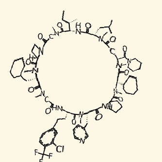 CC[C@H](C)[C@@H]1NC(=O)[C@H](CC(C)C)N(C)C(=O)C[C@@H](C(=O)N2CCCCC2)N(C)C(=O)[C@H](C2CCCCC2)N(C)C(=O)C2(CCCC2)NC(=O)[C@H](Cc2cccnc2)N(C)C(=O)[C@H](CCc2ccc(C(F)(F)F)c(Cl)c2)NC(=O)CN(C)C(=O)[C@H](CC2CCCCC2)N(C)C(=O)[C@@H]2CCN2C(=O)CN(C)C1=O